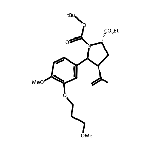 C=C(C)[C@@H]1C[C@@H](C(=O)OCC)N(C(=O)OC(C)(C)C)C1c1ccc(OC)c(OCCCOC)c1